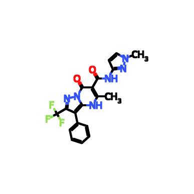 Cc1[nH]c2c(-c3ccccc3)c(C(F)(F)F)nn2c(=O)c1C(=O)Nc1ccn(C)n1